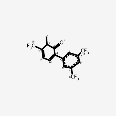 CC1C(=O)C(c2cc(C(F)(F)F)cc(C(F)(F)F)c2)=CC=C1C(F)(F)F